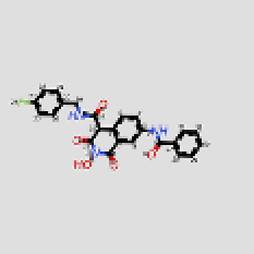 O=C(Nc1ccc2c(c1)C(=O)N(O)C(=O)C2C(=O)NCc1ccc(F)cc1)c1ccccc1